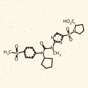 CN(C(=O)N(c1ccc(S(C)(=O)=O)cc1)C1CCCC1)c1ncc(S(=O)(=O)N2CCC[C@H]2C(=O)O)s1